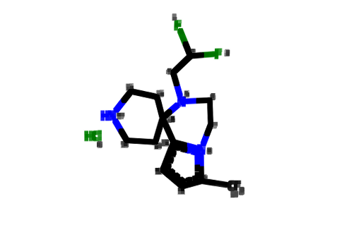 Cl.FC(F)CN1CCn2c(C(F)(F)F)ccc2C12CCNCC2